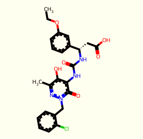 CCOc1cccc([C@H](CC(=O)O)NC(=O)Nc2c(O)c(C)nn(Cc3ccccc3Cl)c2=O)c1